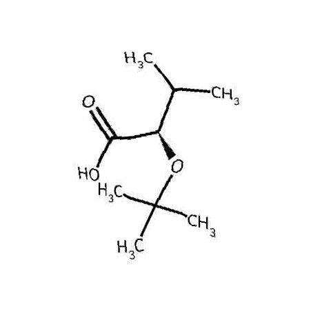 CC(C)[C@@H](OC(C)(C)C)C(=O)O